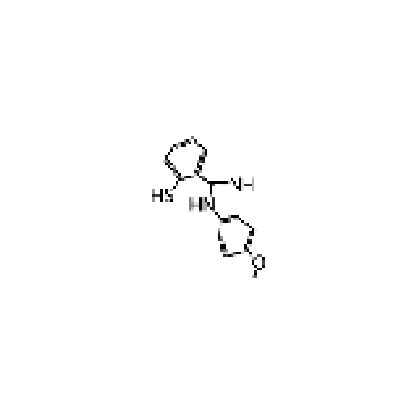 COc1ccc(NC(=N)c2ccccc2S)cc1